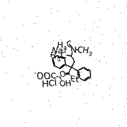 CCC(=O)C(CC(C)N(C)C)(c1ccccc1)c1ccccc1.Cl.O=C([O-])CO.[Na+]